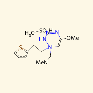 CNC[N+]1(CCc2cccs2)C=C(OC)N=NN1.CS(=O)(=O)O